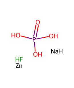 F.O=P(O)(O)O.[NaH].[Zn]